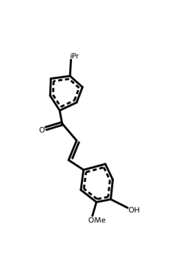 COc1cc(C=CC(=O)c2ccc(C(C)C)cc2)ccc1O